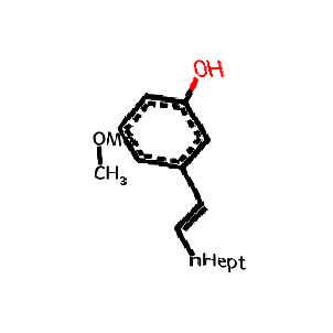 CCCCCCCC=Cc1cccc(O)c1.COC